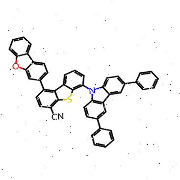 N#Cc1ccc(-c2ccc3c(c2)oc2ccccc23)c2c1sc1c(-n3c4ccc(-c5ccccc5)cc4c4cc(-c5ccccc5)ccc43)cccc12